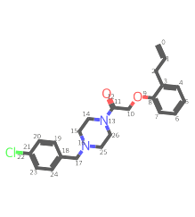 C=CCc1ccccc1OCC(=O)N1CCN(Cc2ccc(Cl)cc2)CC1